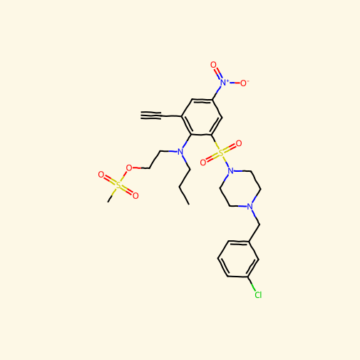 C#Cc1cc([N+](=O)[O-])cc(S(=O)(=O)N2CCN(Cc3cccc(Cl)c3)CC2)c1N(CCC)CCOS(C)(=O)=O